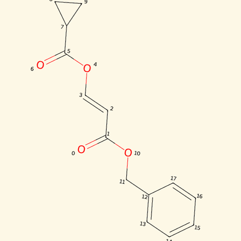 O=C(C=COC(=O)C1CC1)OCc1ccccc1